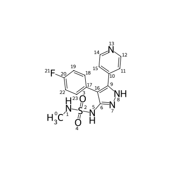 CNS(=O)(=O)Nc1n[nH]c(-c2ccncc2)c1-c1ccc(F)cc1